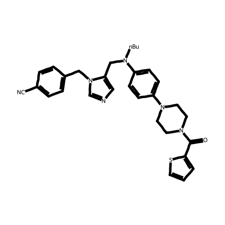 CCCCN(Cc1cncn1Cc1ccc(C#N)cc1)c1ccc(N2CCN(C(=O)c3cccs3)CC2)cc1